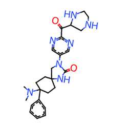 CN(C)C1(c2ccccc2)CCC2(CC1)CN(c1cnc(C(=O)C3CNCCN3)nc1)C(=O)N2